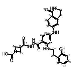 O=C1NCCc2cc(Nc3ncc(C(=O)NNC(=O)C4CN(C(=O)O)C4)c(NCCc4ccccc4O)n3)ccc21